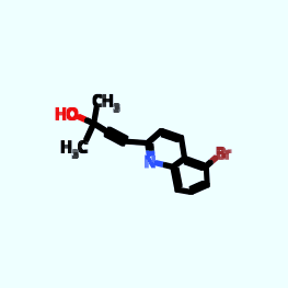 CC(C)(O)C#Cc1ccc2c(Br)cccc2n1